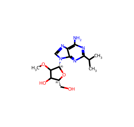 COC1C(O)[C@@H](CO)O[C@H]1n1cnc2c(N)nc(C(C)C)nc21